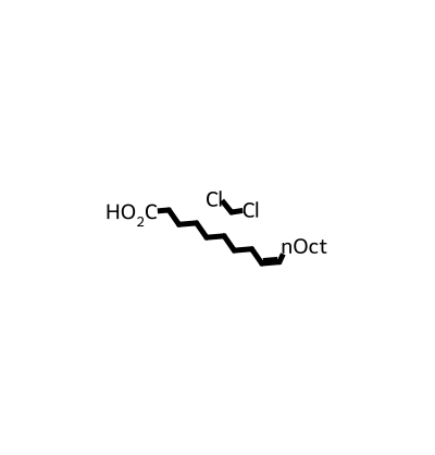 CCCCCCCC/C=C\CCCCCCCC(=O)O.ClCCl